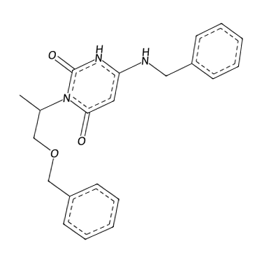 CC(COCc1ccccc1)n1c(=O)cc(NCc2ccccc2)[nH]c1=O